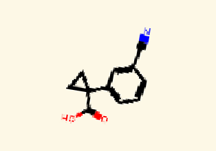 N#Cc1cccc(C2(C(=O)O)CC2)c1